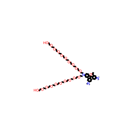 C=C1OC(c2ccc(N(C)C)cc2)(c2ccc(N(CCOCCOCCOCCOCCOCCOCCOCCOCCOCCO)CCOCCOCCOCCOCCOCCOCCOCCOCCOCCO)cc2)c2ccc(N(C)C)cc21